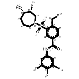 O=C(Nc1cc(F)c(F)c(F)c1)c1ccc(CF)c(S(=O)(=O)N2CCC[C@H](O)[C@@H](F)C2)c1